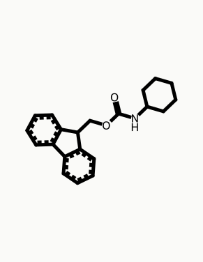 O=C(NC1CCCCC1)OCC1c2ccccc2-c2ccccc21